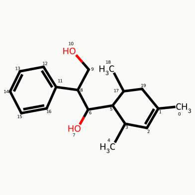 CC1=CC(C)C(C(O)C(CO)c2ccccc2)C(C)C1